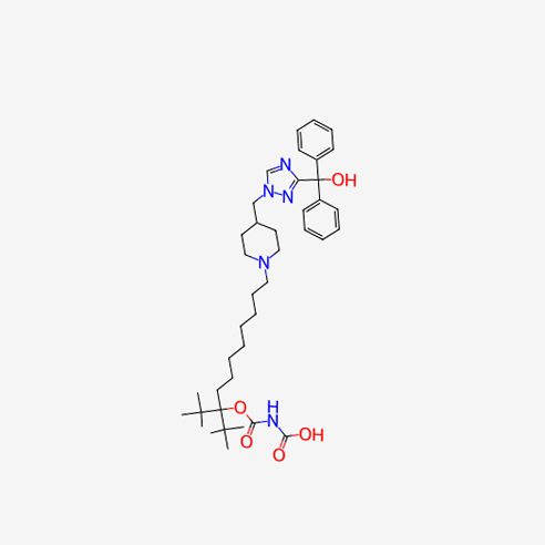 CC(C)(C)C(CCCCCCCCN1CCC(Cn2cnc(C(O)(c3ccccc3)c3ccccc3)n2)CC1)(OC(=O)NC(=O)O)C(C)(C)C